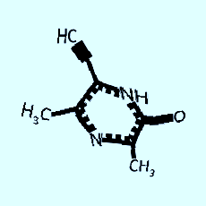 C#Cc1[nH]c(=O)c(C)nc1C